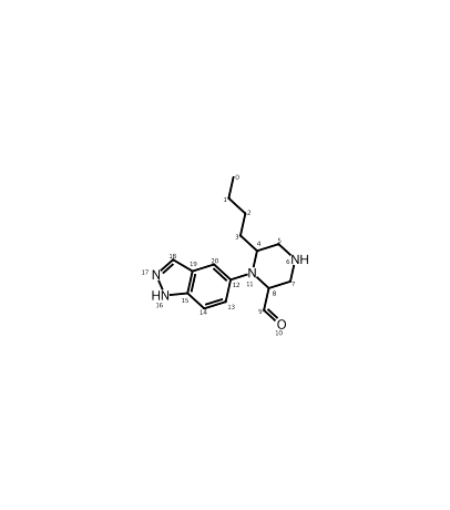 CCCCC1CNCC(C=O)N1c1ccc2[nH]ncc2c1